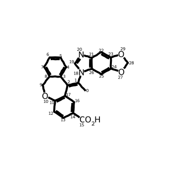 CC(=C1c2ccccc2COc2ccc(C(=O)O)cc21)n1cnc2cc3c(cc21)OCO3